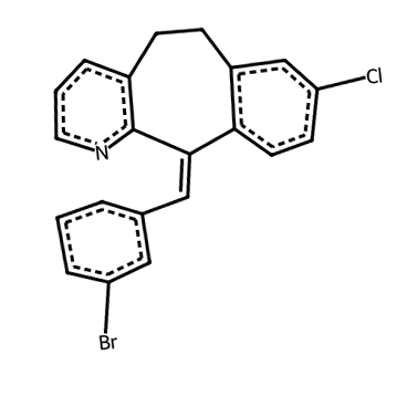 Clc1ccc2c(c1)CCc1cccnc1C2=Cc1cccc(Br)c1